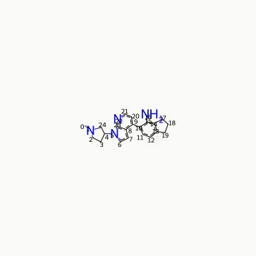 CN1CCC(n2ccc3c(-c4ccc5c(c4N)CCC5)ccnc32)C1